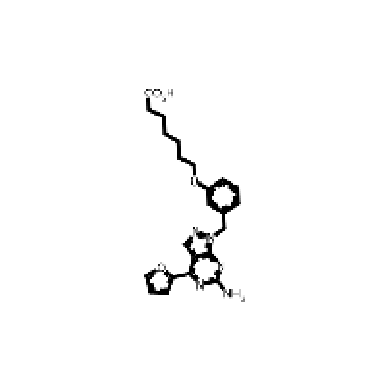 Nc1nc(-c2ccco2)c2cnn(Cc3cccc(OCCCCCCC(=O)O)c3)c2n1